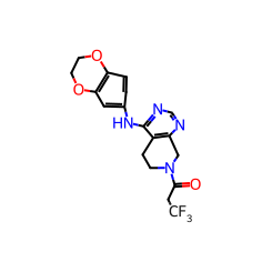 O=C(CC(F)(F)F)N1CCc2c(ncnc2Nc2ccc3c(c2)OCCO3)C1